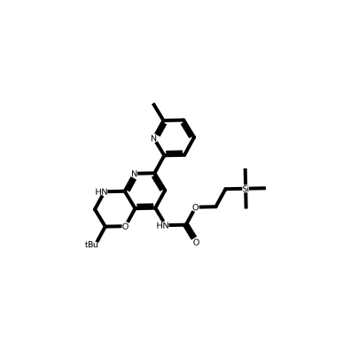 Cc1cccc(-c2cc(NC(=O)OCC[Si](C)(C)C)c3c(n2)NCC(C(C)(C)C)O3)n1